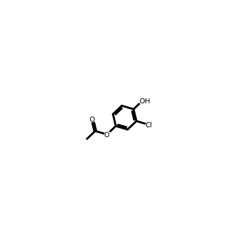 CC(=O)Oc1ccc(O)c(Cl)c1